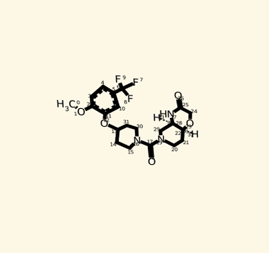 COc1ccc(C(F)(F)F)cc1OC1CCN(C(=O)N2CC[C@@H]3OCC(=O)N[C@@H]3C2)CC1